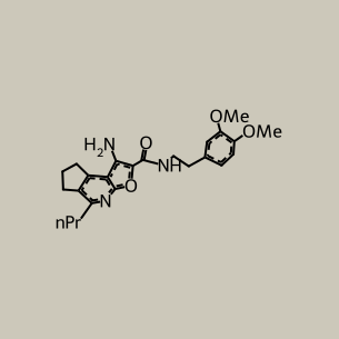 CCCc1nc2oc(C(=O)NCCc3ccc(OC)c(OC)c3)c(N)c2c2c1CCC2